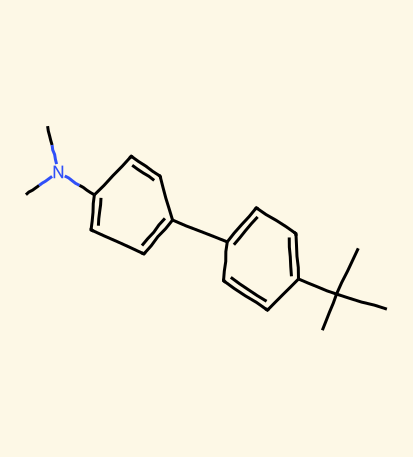 CN(C)c1ccc(-c2ccc(C(C)(C)C)cc2)cc1